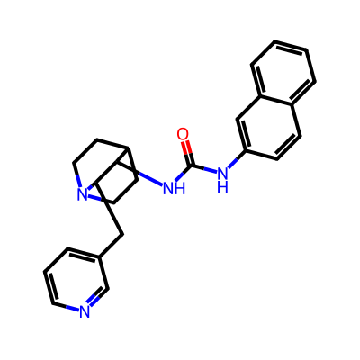 O=C(Nc1ccc2ccccc2c1)NC1C2CCN(CC2)C1Cc1cccnc1